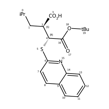 CC(C)C[C@@H](C(=O)O)[C@@H](Sc1ccc2ccccc2n1)C(=O)OC(C)(C)C